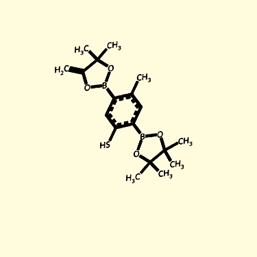 C=C1OB(c2cc(S)c(B3OC(C)(C)C(C)(C)O3)cc2C)OC1(C)C